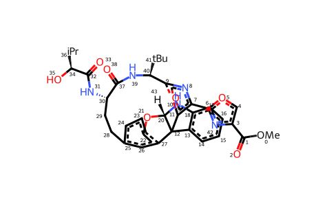 COC(=O)c1coc(-c2nc3oc2C24c5ccccc5N[C@H]2Oc2ccc(cc24)CC[C@H](NC(=O)[C@@H](O)C(C)C)C(=O)N[C@H]3C(C)(C)C)n1